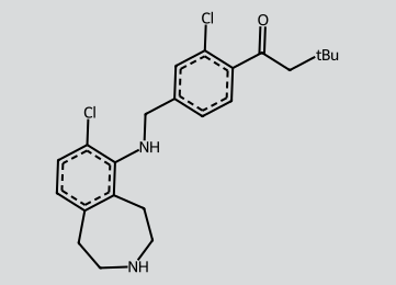 CC(C)(C)CC(=O)c1ccc(CNc2c(Cl)ccc3c2CCNCC3)cc1Cl